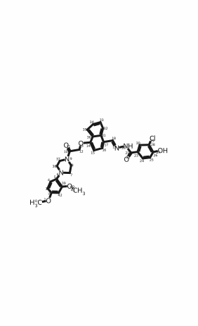 COc1ccc(N2CCN(C(=O)COc3ccc(/C=N/NC(=O)c4ccc(O)c(Cl)c4)c4ccccc34)CC2)c(OC)c1